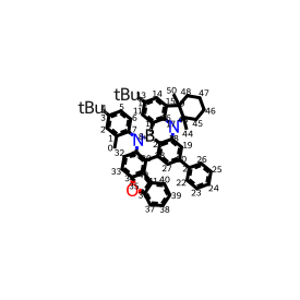 Cc1cc(C(C)(C)C)ccc1N1B2c3cc(C(C)(C)C)cc4c3N(c3cc(-c5ccccc5)cc(c32)-c2c1ccc1oc3ccccc3c21)C1(C)CCCCC41C